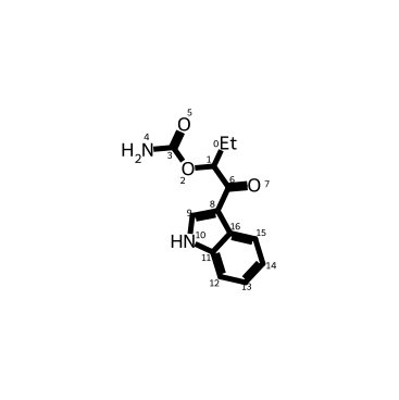 CCC(OC(N)=O)C(=O)c1c[nH]c2ccccc12